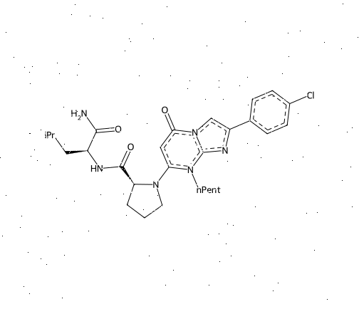 CCCCCn1c(N2CCC[C@H]2C(=O)N[C@@H](CC(C)C)C(N)=O)cc(=O)n2cc(-c3ccc(Cl)cc3)nc12